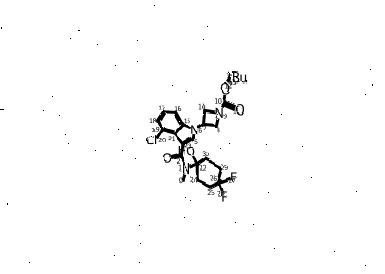 CN(C(=O)c1cn(C2CN(C(=O)OC(C)(C)C)C2)c2cccc(Cl)c12)C1(O)CCC(F)(F)CC1